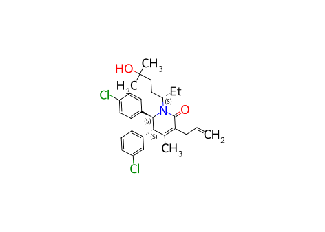 C=CCC1=C(C)[C@H](c2cccc(Cl)c2)[C@@H](c2ccc(Cl)cc2)N([C@@H](CC)CCC(C)(C)O)C1=O